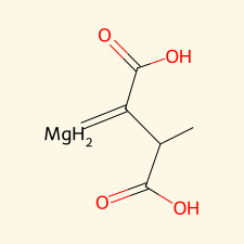 C=C(C(=O)O)C(C)C(=O)O.[MgH2]